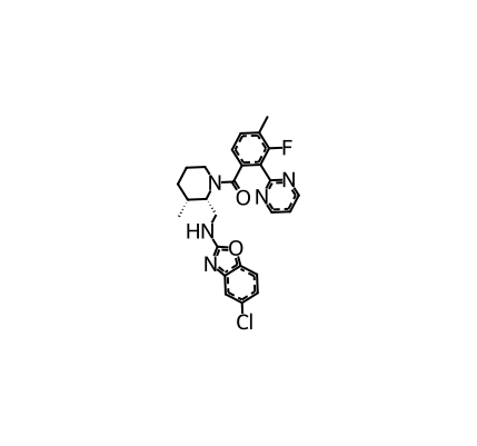 Cc1ccc(C(=O)N2CCC[C@@H](C)[C@H]2CNc2nc3cc(Cl)ccc3o2)c(-c2ncccn2)c1F